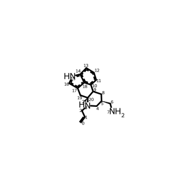 C=CCN1C[C@H](CN)CC2c3cccc4[nH]cc(c34)C[C@H]21